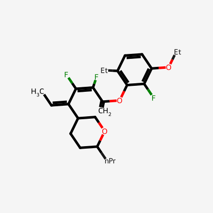 C=C(Oc1c(CC)ccc(OCC)c1F)/C(F)=C(F)\C(=C/C)C1CCC(CCC)OC1